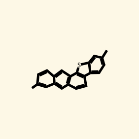 Cc1ccc2cc3c(ccc4c5ccc(C)cc5sc34)cc2c1